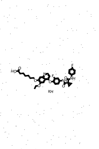 CCOc1cc2c(Oc3ccc(NC(=O)C4(C(=O)Nc5ccc(F)cc5)CC4)cc3F)ccnc2cc1OCCCCCCC(=O)O.[KH]